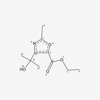 CCOC(=O)c1oc(C)nc1C(C)(C)O